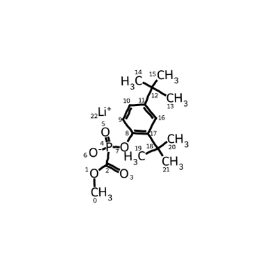 COC(=O)P(=O)([O-])Oc1ccc(C(C)(C)C)cc1C(C)(C)C.[Li+]